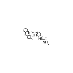 Cc1ccc2c(c1)N(CC(O)CN1CCC(CNC(N)=O)CC1)c1ccccc1S2